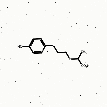 CC(OCCCc1ccc(O)cc1)C(=O)O